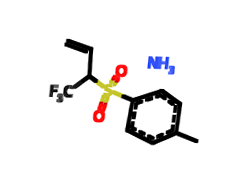 C=CC(C(F)(F)F)S(=O)(=O)c1ccc(C)cc1.N